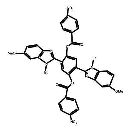 CCn1c(-c2cc(OC(=O)c3ccc([N+](=O)[O-])cc3)c(-c3nc4ccc(OC)cc4n3CC)cc2OC(=O)c2ccc([N+](=O)[O-])cc2)nc2cc(OC)ccc21